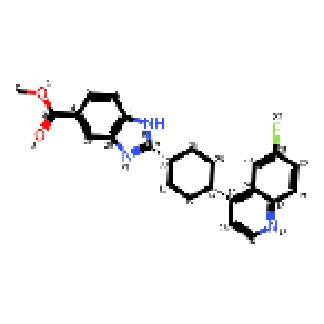 COC(=O)c1ccc2[nH]c([C@H]3CC[C@@H](c4ccnc5ccc(F)cc54)CC3)nc2c1